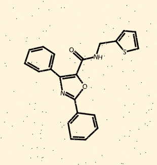 O=C(NCc1cccs1)c1oc(-c2ccccc2)nc1-c1ccccc1